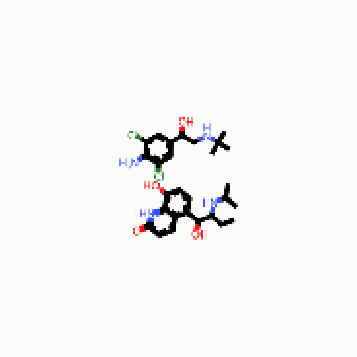 CC(C)(C)NCC(O)c1cc(Cl)c(N)c(Cl)c1.CCC(NC(C)C)C(O)c1ccc(O)c2[nH]c(=O)ccc12